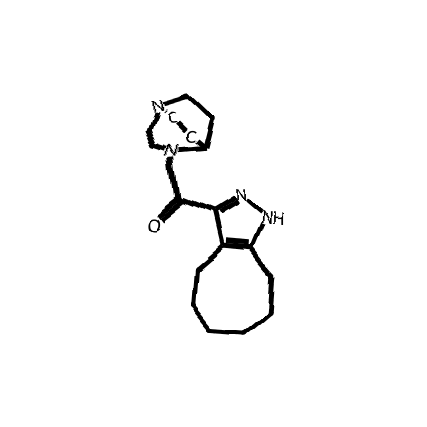 O=C(c1n[nH]c2c1CCCCCC2)N1CCN2CCC1CC2